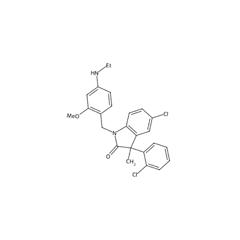 CCNc1ccc(CN2C(=O)C(C)(c3ccccc3Cl)c3cc(Cl)ccc32)c(OC)c1